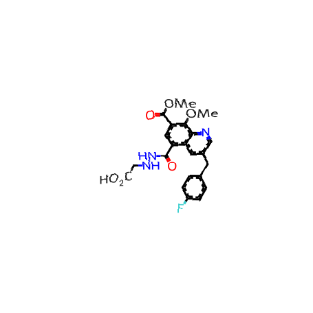 COC(=O)c1cc(C(=O)NNCC(=O)O)c2cc(Cc3ccc(F)cc3)cnc2c1OC